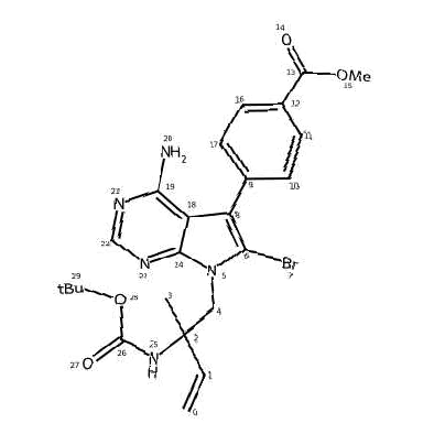 C=CC(C)(Cn1c(Br)c(-c2ccc(C(=O)OC)cc2)c2c(N)ncnc21)NC(=O)OC(C)(C)C